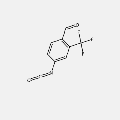 O=C=Nc1ccc(C=O)c(C(F)(F)F)c1